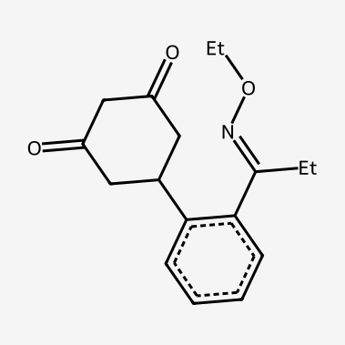 CCON=C(CC)c1ccccc1C1CC(=O)CC(=O)C1